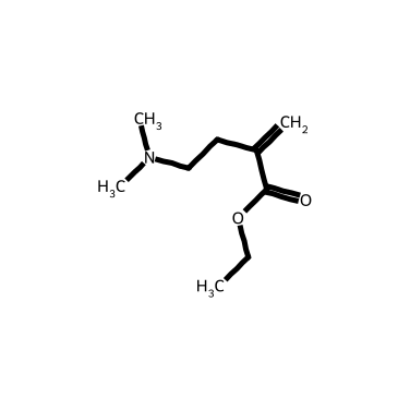 C=C(CCN(C)C)C(=O)OCC